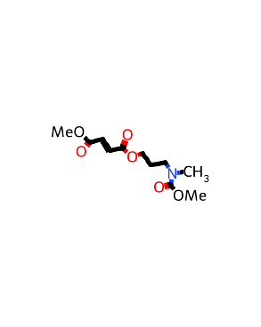 COC(=O)/C=C/C(=O)OCCCN(C)C(=O)OC